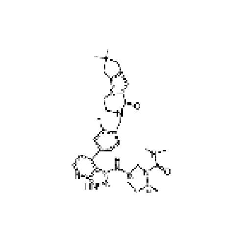 C[C@H]1CC[C@@H](Nc2n[nH]c3nccc(-c4ccc(CN5CCn6c(cc7c6CC(C)(C)C7)C5=O)c(F)c4)c23)CN1C(=O)N(C)C